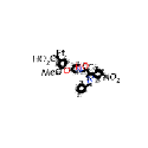 CCC(C(=O)O)c1ccc(O[C@H]2CCN(CC(O)(c3cn(Cc4ccccc4)c4cc([N+](=O)[O-])ccc34)C(F)(F)F)C2)c(OC)c1